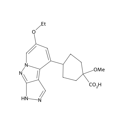 CCOc1cc(C2CCC(OC)(C(=O)O)CC2)c2c3cn[nH]c3nn2c1